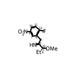 CC[C@H](OC)C(=N)Cc1cc([N+](=O)[O-])ccc1F